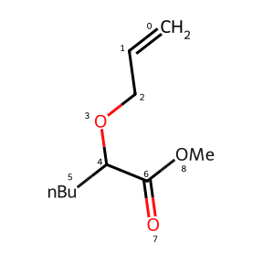 C=CCOC(CCCC)C(=O)OC